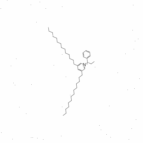 CCCCCCCCCCCCCCc1cc(CCCCCCCCCCCCCC)c[n+](C(CC)c2ccccc2)c1